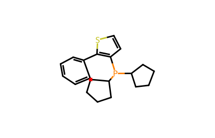 c1ccc(-c2sccc2P(C2CCCC2)C2CCCC2)cc1